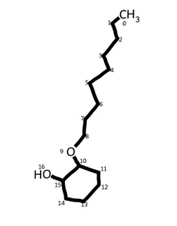 CCCCCCCCCOC1CCCCC1O